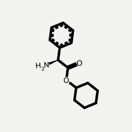 N[C@H](C(=O)OC1CCCCC1)c1ccccc1